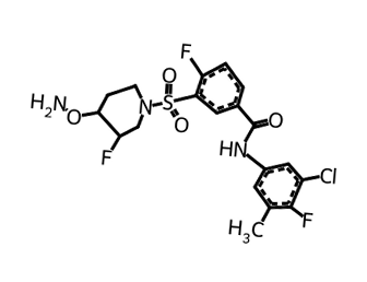 Cc1cc(NC(=O)c2ccc(F)c(S(=O)(=O)N3CCC(ON)C(F)C3)c2)cc(Cl)c1F